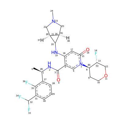 C[C@@H](NC(=O)c1cn([C@@H]2CCOC[C@H]2F)c(=O)cc1NC1[C@H]2CN(C)C[C@@H]12)c1cccc(C(F)F)c1F